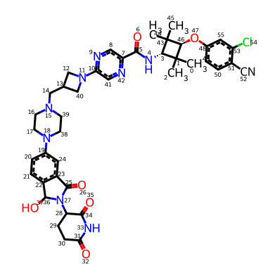 CC1(C)[C@H](NC(=O)c2cnc(N3CC(CN4CCN(c5ccc6c(c5)C(=O)N(C5CCC(=O)NC5=O)C6O)CC4)C3)cn2)C(C)(C)[C@H]1Oc1ccc(C#N)c(Cl)c1